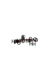 O=C(NCCCNC(=O)c1cc(-c2ccc(-c3cc(C(=O)NCCCNC(=O)C4CCCCO4)n[nH]3)cc2)cc(C(F)(F)F)n1)c1cc(-c2ccccc2)[nH]n1